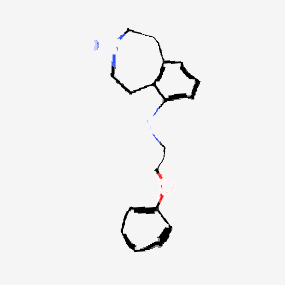 c1ccc(OCCNc2cccc3c2CCNCC3)cc1